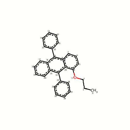 CCCOc1cccc2c(-c3ccccc3)c3ccccc3c(-c3ccccc3)c12